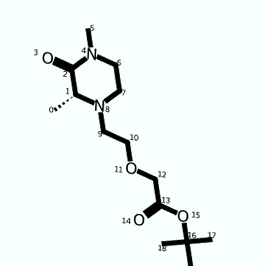 C[C@@H]1C(=O)N(C)CCN1CCOCC(=O)OC(C)(C)C